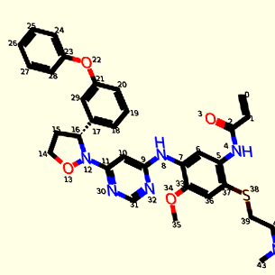 C=CC(=O)Nc1cc(Nc2cc(N3OCC[C@@H]3c3cccc(Oc4ccccc4)c3)ncn2)c(OC)cc1SCCN(C)C